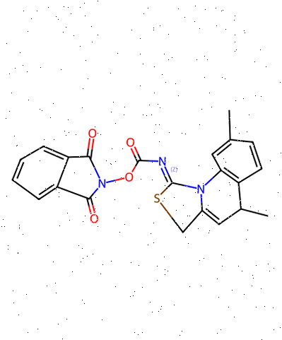 Cc1ccc2c(c1)N1C(=CC2C)CS/C1=N\C(=O)ON1C(=O)c2ccccc2C1=O